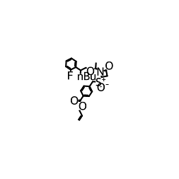 C=CCOC(=O)c1ccc(C[S+]([O-])C2CC(=O)N2C(C)OCC(CCCC)c2ccccc2F)cc1